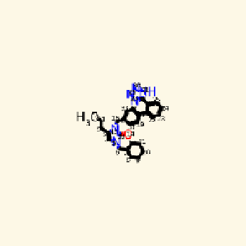 CCCc1cn(CC2CCCCC2)c(=O)n1Cc1ccc(-c2ccccc2-c2nnn[nH]2)cc1